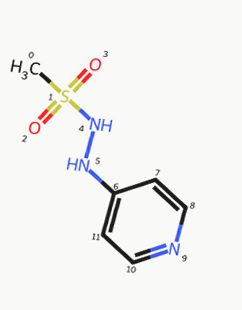 CS(=O)(=O)NNc1ccncc1